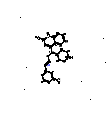 O=c1cc(N(C/C=C/c2cccc(Cl)c2)C2CCNCC2)c2ccccc2o1